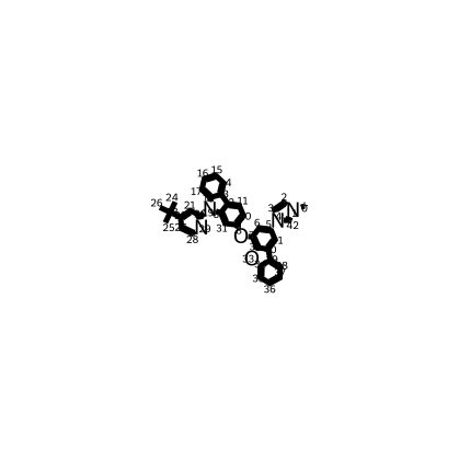 C[n+]1ccn(-c2cc(Oc3ccc4c5ccccc5n(-c5cc(C(C)(C)C)ccn5)c4c3)c3oc4ccccc4c3c2)c1